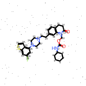 O=C(NC1CCCCC1)OCN1C(=O)CCc2ccc(CCN3CCN(c4cc(F)cc5sccc45)CC3)cc21